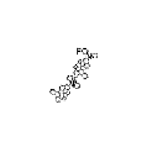 Fc1cccc(N(c2ccccc2)c2ccc3c4c(ccc3c2)-c2c(c3ccc(-c5cccc(N(c6ccc7c8c(ccc7c6)-c6c(c7ccccc7c7ccccc67)C86c7ccccc7-c7ccccc76)c6ccccc6F)c5)cc3c3ccccc23)C42c3ccccc3-c3ccccc32)c1